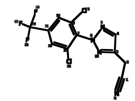 N#CCc1cnn(-c2c(Cl)cc(C(F)(F)F)cc2Cl)n1